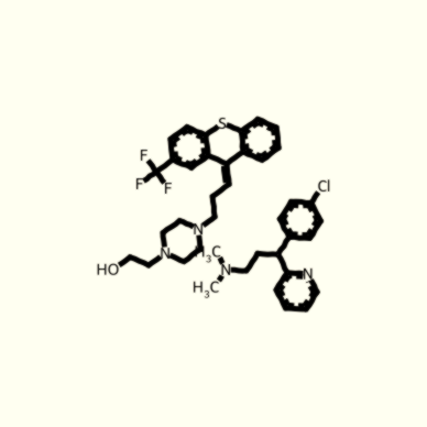 CN(C)CCC(c1ccc(Cl)cc1)c1ccccn1.OCCN1CCN(CC/C=C2/c3ccccc3Sc3ccc(C(F)(F)F)cc32)CC1